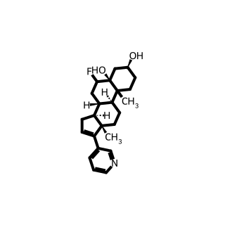 CC12CC[C@H](O)C[C@@]1(O)C(F)C[C@@H]1[C@@H]2CC[C@]2(C)C(c3cccnc3)=CC[C@@H]12